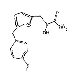 NC(=O)N(O)Cc1ccc(Cc2ccc(F)cc2)s1